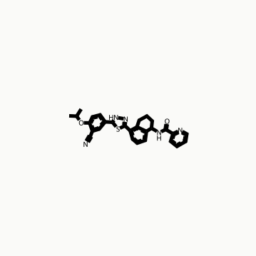 CC(C)Oc1ccc(C2NN=C(c3cccc4c3CCCC4NC(=O)c3ccccn3)S2)cc1C#N